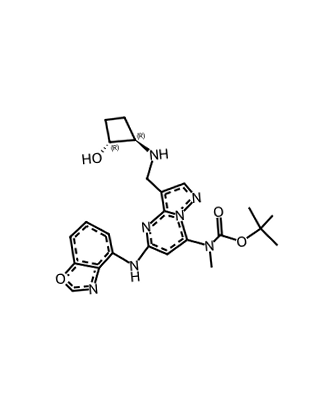 CN(C(=O)OC(C)(C)C)c1cc(Nc2cccc3ocnc23)nc2c(CN[C@@H]3CC[C@H]3O)cnn12